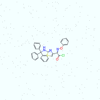 O=C(Cl)/C(=N\Oc1ccccc1)c1csc(NC(c2ccccc2)(c2ccccc2)c2ccccc2)n1